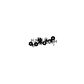 Nc1ncnc2c1c(-c1ccc(Oc3ccccc3)cc1)nn2[C@@H]1CCCN(C(=O)[C@H](N)Cc2c[nH]c3ccccc23)C1